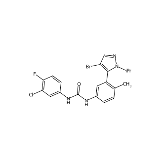 Cc1ccc(NC(=O)Nc2ccc(F)c(Cl)c2)cc1-c1c(Br)cnn1C(C)C